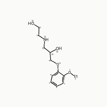 CCOc1ccccc1OCC(O)CNCCO